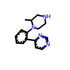 CC1CNCCN1c1ccccc1-c1ccncn1